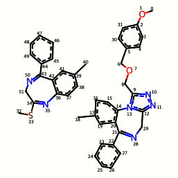 COc1ccc(COCc2nnc3n2-c2ccc(C)cc2C(c2ccccc2)=NC3)cc1.CSC1=Nc2ccc(C)cc2C(c2ccccc2)=NC1